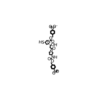 O=C(N[C@H]1CCN(C(=O)CC(O)[C@@H]2C[C@H](S)CN2C(=O)OCc2ccc([N+](=O)[O-])cc2)C1)OCc1ccc([N+](=O)[O-])cc1